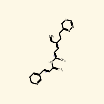 C=C/C(=C\C=C(/C)NC(=C)/C=C/C1=CCCN=C1)CCC1=NN=COC1